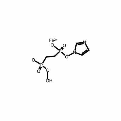 O=P([O-])(CCP(=O)([O-])On1ccnc1)OO.[Fe+2]